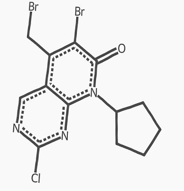 O=c1c(Br)c(CBr)c2cnc(Cl)nc2n1C1CCCC1